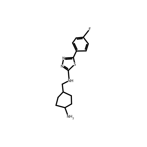 NC1CCC(CNc2nnc(-c3ccc(F)cc3)s2)CC1